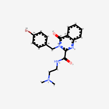 CN(C)CCNC(=O)c1nc2ccccc2c(=O)n1Cc1ccc(Br)cc1